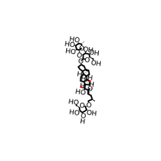 C[C@H](C/C=C1\O[C@H]2C[C@H]3[C@@H]4CC=C5C[C@@H](O[C@@H]6O[C@H](CO)[C@@H](O)[C@H](O)[C@H]6O[C@@H]6O[C@@H](C)[C@H](O)[C@@H](O)[C@H]6O)CC[C@]5(C)[C@H]4CC[C@]3(C)[C@H]2[C@@]1(C)O)CO[C@@H]1O[C@H](CO)[C@@H](O)[C@H](O)[C@H]1O